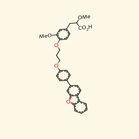 COc1cc(CC(OC)C(=O)O)ccc1OCCCOc1ccc(-c2ccc3c(c2)oc2ccccc23)cc1